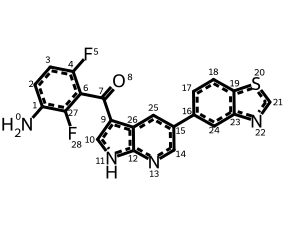 Nc1ccc(F)c(C(=O)c2c[nH]c3ncc(-c4ccc5scnc5c4)cc23)c1F